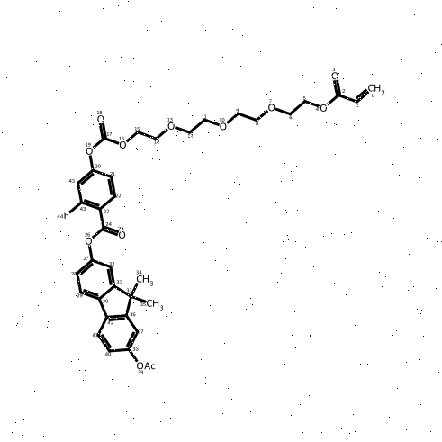 C=CC(=O)OCCOCCOCCOCCOC(=O)Oc1ccc(C(=O)Oc2ccc3c(c2)C(C)(C)c2cc(OC(C)=O)ccc2-3)c(F)c1